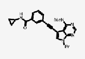 CNc1ncnc2c1c(C#Cc1cccc(C(=O)NC3CC3)c1)cn2C(C)C